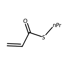 C=CC(=O)SCCC